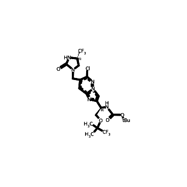 CC(C)(C)OC(=O)N[C@@H](COC(C)(C)C(F)(F)F)c1cn2nc(Cl)c(CN3C[C@@H](C(F)(F)F)NC3=O)cc2n1